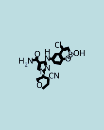 N#CC1CCOCC1n1cc(C(N)=O)c(Nc2ccc3c(c2)C(Cl)=CB(O)O3)n1